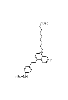 CCCCCCCCCCCCCCCCCC[n+]1ccc(/C=C/c2ccc(NCCCC)cc2)c2ccccc21.[I-]